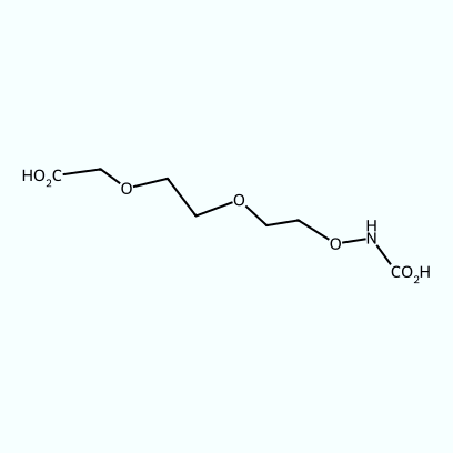 O=C(O)COCCOCCONC(=O)O